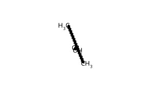 CCCCCCCCCCCCCCCCCCN(CCCCCCCCCCCC)C(=O)O